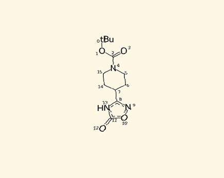 CC(C)(C)OC(=O)N1CCC(c2noc(=O)[nH]2)CC1